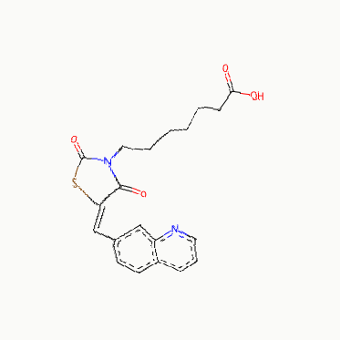 O=C(O)CCCCCCN1C(=O)SC(=Cc2ccc3cccnc3c2)C1=O